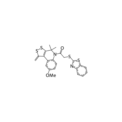 C=C1SSC2=C1c1cc(OC)ccc1N(C(=O)CSc1nc3ccccc3s1)C2(C)C